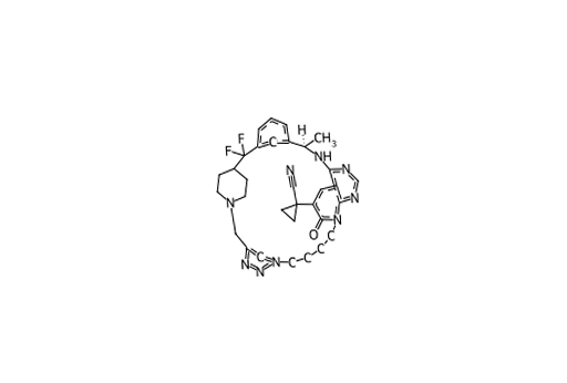 C[C@H]1Nc2ncnc3c2cc(C2(C#N)CC2)c(=O)n3CCCCn2cc(nn2)CN2CCC(CC2)C(F)(F)c2cccc1c2